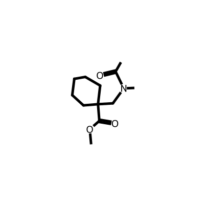 COC(=O)C1(CN(C)C(C)=O)CCCCC1